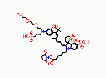 C=C(/C=C(\c1ccc(N(CCCS(=O)(=O)O)CCOCCOCCOC)cc1O)C(C)(C)C)/C=C/C=C1/N(CCCCCC(=O)ON2C(=O)CCC2=O)c2ccc(S(=O)(=O)O)cc2C1(C)CCCS(=O)(=O)O